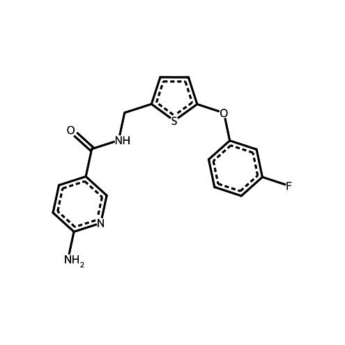 Nc1ccc(C(=O)NCc2ccc(Oc3cccc(F)c3)s2)cn1